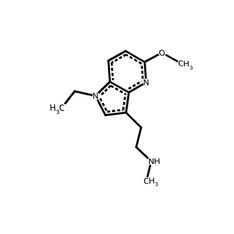 CCn1cc(CCNC)c2nc(OC)ccc21